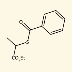 CCOC(=O)C(C)SC(=O)c1ccccc1